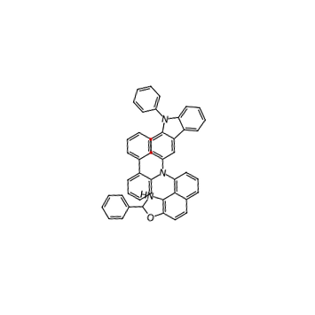 c1ccc(-c2ccccc2N(c2ccc3c(c2)c2ccccc2n3-c2ccccc2)c2cccc3ccc4c(c23)NC(c2ccccc2)O4)cc1